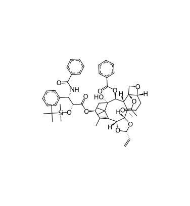 C=C[C@@H]1O[C@@H]2C3=C(C)[C@@H](OC(=O)[C@H](O[Si](C)(C)C(C)(C)C)[C@@H](NC(=O)c4ccccc4)c4ccccc4)C[C@@](O)([C@@H](OC(=O)c4ccccc4)[C@H]4[C@@](C)(CC[C@H]5OC[C@]54OC(C)=O)[C@@H]2O1)C3(C)C